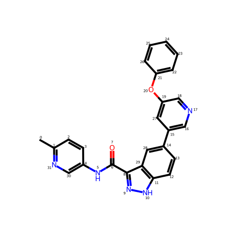 Cc1ccc(NC(=O)c2n[nH]c3ccc(-c4cncc(Oc5ccccc5)c4)cc23)cn1